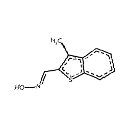 Cc1c(C=NO)sc2ccccc12